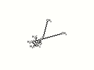 C=C(CCN(C)C)OC(CC)C(CCC)C(C)CC(=O)OCC(CCCCCCCCCCCCCCCC)OCCCCCCCCCCCCCC